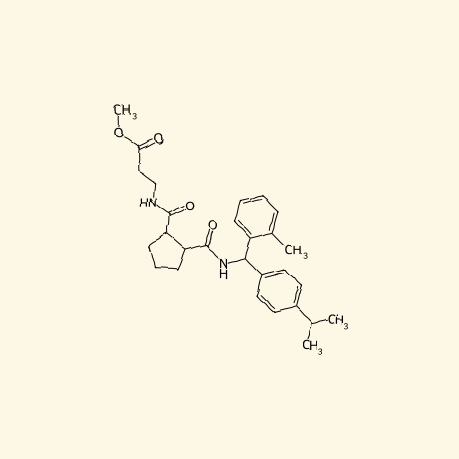 COC(=O)CCNC(=O)C1CCCC1C(=O)NC(c1ccc(C(C)C)cc1)c1ccccc1C